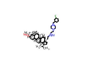 C=C(C)[C@@H]1CC[C@]2(CCNCCN3CCN(Cc4cccc(F)c4)CC3)CC[C@]3(C)[C@H](CC[C@@H]4[C@@]5(C)CC[C@H](O)C(C)(C)[C@@H]5CC[C@]43C)[C@@H]12